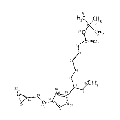 CCC(CCCCCC(=O)OC(C)(C)C)c1nc(OCC2CO2)cs1